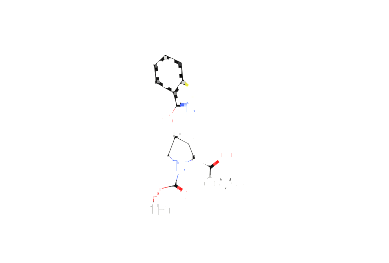 COC(=O)[C@@H]1C[C@@H](Oc2nsc3ccccc23)CN1C(=O)OC(C)(C)C